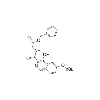 CCCCOc1ccc2cnc(C(=O)NCC(=O)OCc3ccccc3)c(O)c2c1